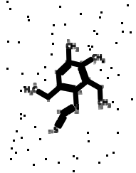 CCc1cc(C)c(C)c(CC)c1N=C=S